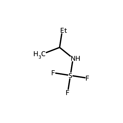 CCC(C)NS(F)(F)F